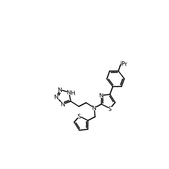 CC(C)c1ccc(-c2csc(N(CCc3nnn[nH]3)Cc3cccs3)n2)cc1